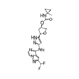 CC1(NC(=O)O[C@H]2CO[C@@H](c3cc(Nc4nccn5nc(C(F)F)cc45)n[nH]3)C2)CC1